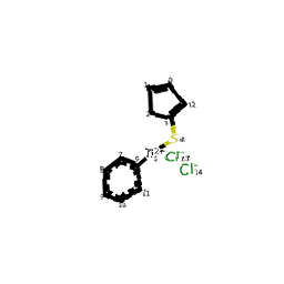 C1=CCC([S][Ti+2][c]2ccccc2)=C1.[Cl-].[Cl-]